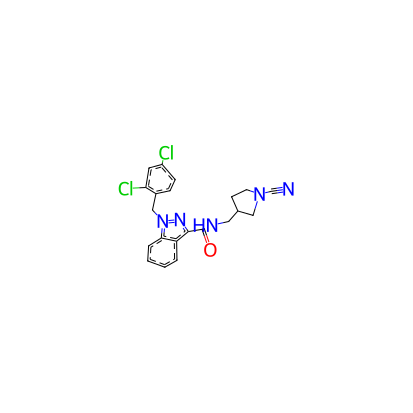 N#CN1CCC(CNC(=O)c2nn(Cc3ccc(Cl)cc3Cl)c3ccccc23)C1